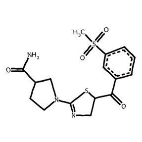 CS(=O)(=O)c1cccc(C(=O)C2CN=C(N3CCC(C(N)=O)C3)S2)c1